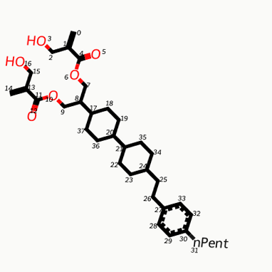 C=C(CO)C(=O)OCC(COC(=O)C(=C)CO)C1CCC(C2CCC(CCc3ccc(CCCCC)cc3)CC2)CC1